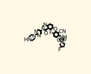 N#Cc1c(NS(=O)(=O)N2CC[C@@H](F)C2)ccc(F)c1Oc1ccc2ncn(-c3cnc(N4CCNCC4)nc3)c(=O)c2c1